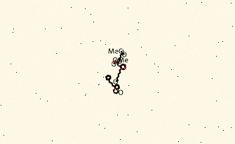 COC(=O)CCCOC(Cc1ccccc1CCCCCCOc1ccc2c(c1CCCc1ccccc1)CCCC2=O)C(=O)OC